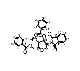 O=C(OC[C@H]1O[CH][C@@H](N2C(=O)c3ccccc3C2=O)[C@@H](OC(=O)c2ccccc2)[C@@H]1O)c1ccccc1